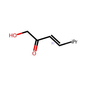 CC(C)/C=C/C(=O)CO